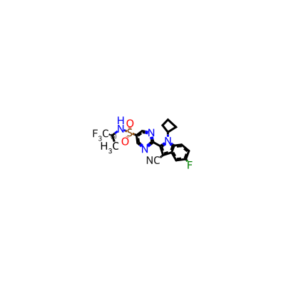 C[C@H](NS(=O)(=O)c1cnc(-c2c(C#N)c3cc(F)ccc3n2C2CCC2)nc1)C(F)(F)F